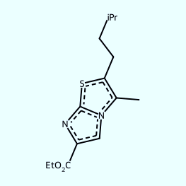 CCOC(=O)c1cn2c(C)c(CCC(C)C)sc2n1